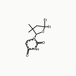 CCC1(CC)CC(C)(C)[C@H](n2ccc(=O)[nH]c2=O)O1